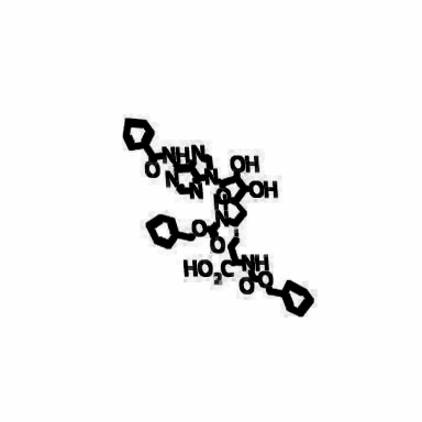 O=C(N[C@@H](CC[C@H](NC(=O)OCc1ccccc1)C(=O)O)C[C@H]1O[C@@H](n2cnc3c(NC(=O)c4ccccc4)ncnc32)C(O)C1O)OCc1ccccc1